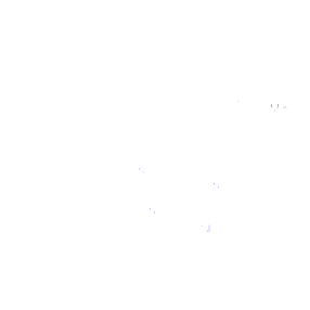 CCCCc1nc2c(N)nc3cc(C(=O)OC)ccc3c2n1CCCCC(=O)O